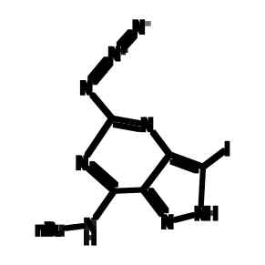 CCCCNc1nc(N=[N+]=[N-])nc2c(I)[nH]nc12